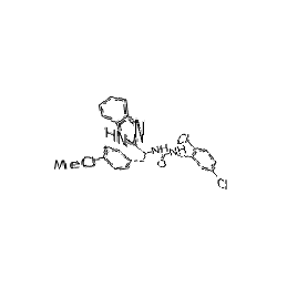 COc1ccc(CC(NC(=O)NCc2cc(Cl)ccc2Cl)c2nc3ccccc3[nH]2)cc1